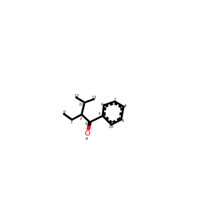 CCC(C(=O)c1ccccc1)C(C)C